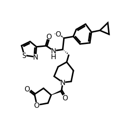 [O][C@H](c1ccc(C2CC2)cc1)[C@H](CC1CCN(C(=O)[C@H]2COC(=O)C2)CC1)NC(=O)c1ccsn1